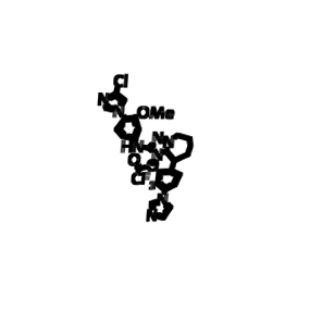 COc1cc(NC2=NN3CCCCC(c4ccc(-n5ccnc5)cc4)C3N2OC(=O)C(F)(F)F)ccc1-n1cnc(Cl)c1